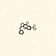 COC(=O)c1ccc2nc3c(c(=O)n2c1)CC/C3=C/c1ccccc1